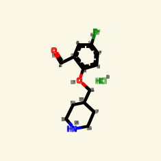 Cl.O=Cc1cc(Br)ccc1OCC1CCNCC1